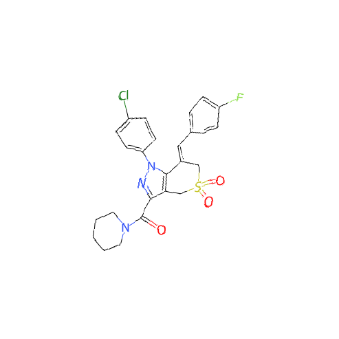 O=C(c1nn(-c2ccc(Cl)cc2)c2c1CS(=O)(=O)C/C2=C\c1ccc(F)cc1)N1CCCCC1